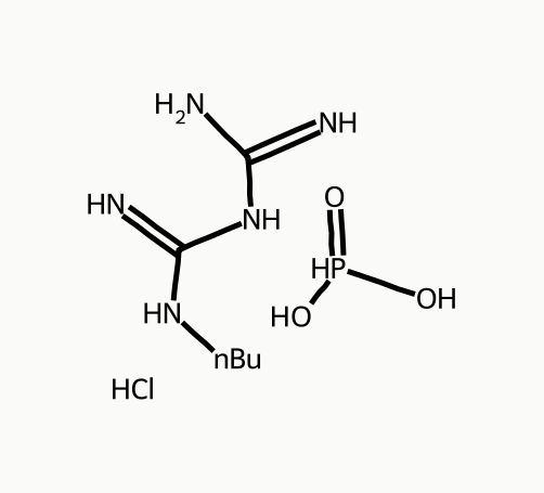 CCCCNC(=N)NC(=N)N.Cl.O=[PH](O)O